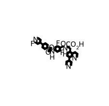 O=C(N[C@@H](Cc1ccc(-c2ccncc2)c2ncccc12)C(=O)O)c1c(F)cc(NS(=O)(=O)c2ccc(-c3ccnc(F)c3)cc2)cc1F